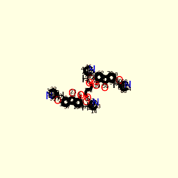 O=C(/C=C/C(=O)Oc1c(O[C@@H]2CN3CCC2CC3)ccc2c1C(=O)c1cc(O[C@@H]3CN4CCC3CC4)ccc1-2)Oc1c(O[C@@H]2CN3CCC2CC3)ccc2c1C(=O)c1cc(O[C@@H]3CN4CCC3CC4)ccc1-2